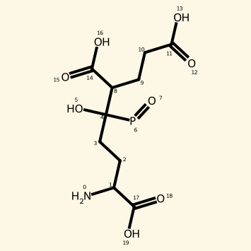 NC(CCC(O)(P=O)C(CCC(=O)O)C(=O)O)C(=O)O